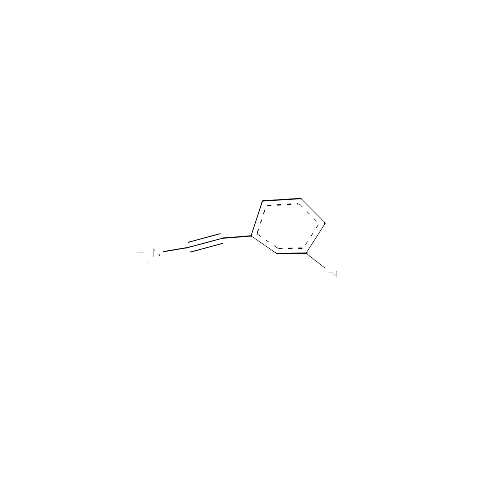 NC#Cc1cccc(Br)c1